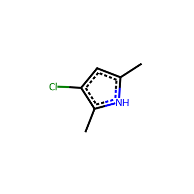 Cc1cc(Cl)c(C)[nH]1